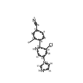 Cc1cc(C#N)ccc1-c1ncc(-n2ccnc2)cc1Cl